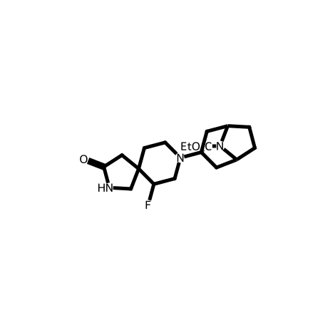 CCOC(=O)N1C2CCC1CC(N1CCC3(CNC(=O)C3)C(F)C1)C2